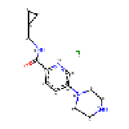 Cl.O=C(NCC1CC1)c1ccc(N2CCNCC2)cn1